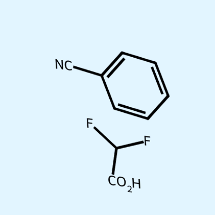 N#Cc1ccccc1.O=C(O)C(F)F